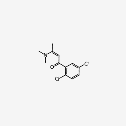 CC(=CC(=O)c1cc(Cl)ccc1Cl)N(C)C